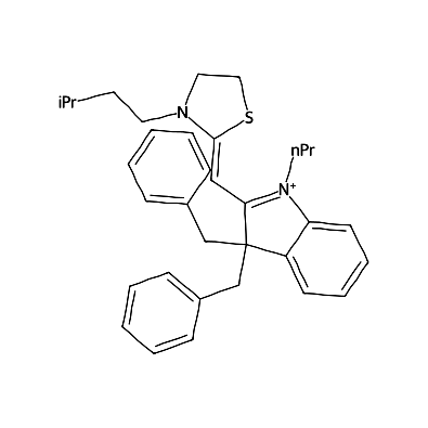 CCC[N+]1=C(/C=C2\SCCN2CCC(C)C)C(Cc2ccccc2)(Cc2ccccc2)c2ccccc21